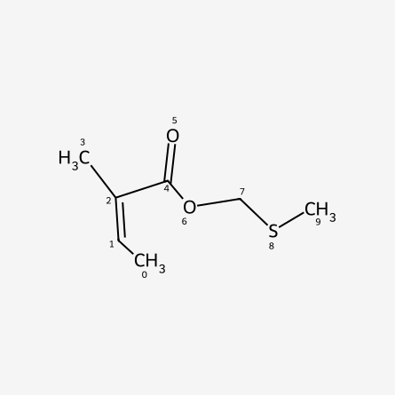 CC=C(C)C(=O)OCSC